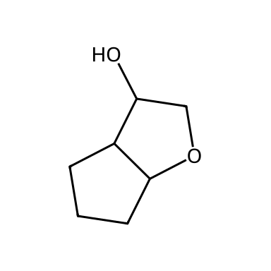 OC1COC2CCCC12